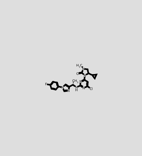 C[C@H](Nc1nc(Cl)cc(N2C(=O)N(C)CC2C2CC2)n1)c1cn(-c2ccc(F)cc2)cn1